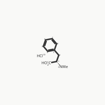 CN[C@@H](Cc1ccccc1)C(=O)O.Cl